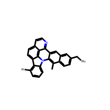 Cc1c2ccc(CC(C)(C)C)cc2cc2c3nccc4ccc5c6c(C(C)C)cccc6n(c12)c5c43